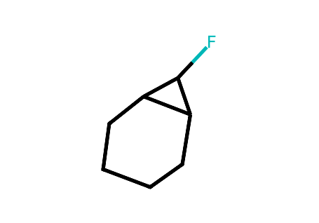 FC1C2CCCCC12